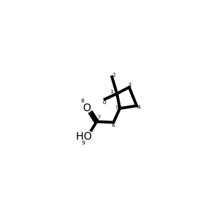 CC1(C)[CH]CC1CC(=O)O